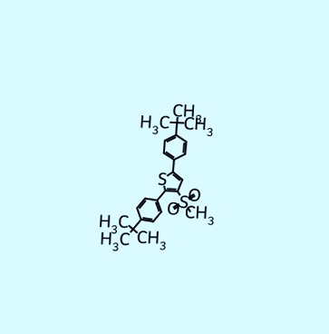 CC(C)(C)c1ccc(-c2cc(S(C)(=O)=O)c(-c3ccc(C(C)(C)C)cc3)s2)cc1